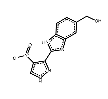 O=[N+]([O-])c1c[nH]nc1-c1nc2cc(CO)ccc2[nH]1